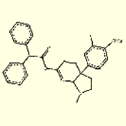 COc1ccc(C23CCC(OC(=O)C(c4ccccc4)c4ccccc4)=CC2N(C)CC3)cc1C